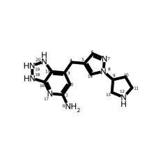 Nc1cc(Cc2cnn(C3CCNC3)c2)c2c(n1)NNN2